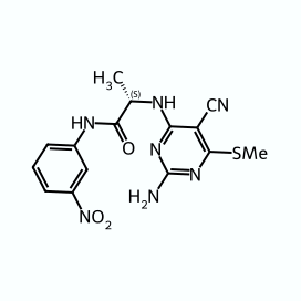 CSc1nc(N)nc(N[C@@H](C)C(=O)Nc2cccc([N+](=O)[O-])c2)c1C#N